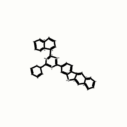 C1=CCC(c2nc(-c3ccc4c(c3)oc3cc5ccccc5cc34)nc(-c3cccc4ccccc34)n2)C=C1